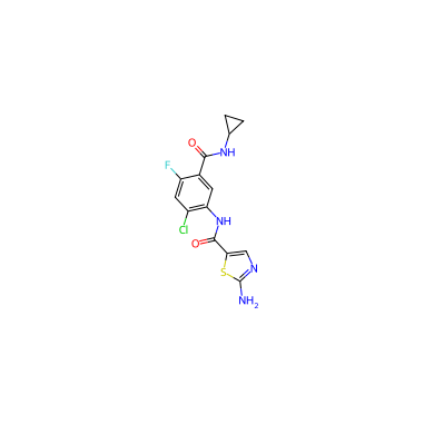 Nc1ncc(C(=O)Nc2cc(C(=O)NC3CC3)c(F)cc2Cl)s1